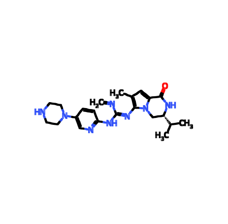 C=N/C(=N\c1c(C)cc2n1C[C@@H](C(C)C)NC2=O)Nc1ccc(N2CCNCC2)cn1